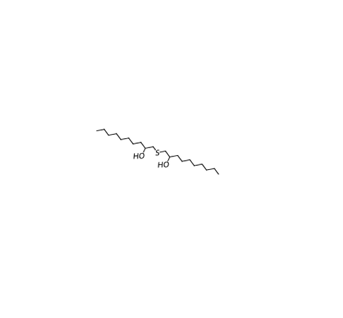 CCCCCCCCC(O)CSCC(O)CCCCCCCC